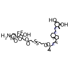 C=C1/C(=C\C=C2/CCC[C@@]3(C)C2CCC3[C@@H](C)/C=C/C(OOCCCSSCCC(=O)OCC2OC(n3ccc(N)nc3=O)C(F)(F)C2O)C2CC2)C[C@@H](O)C[C@@H]1O